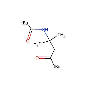 CC(C)(CC(=O)C(C)(C)C)NC(=O)C(C)(C)C